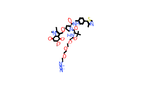 COC1=CC(=O)c2c(c(CO[C@@H]3C[C@@H](C(=O)NCc4ccc(-c5scnc5C)cc4)N(C(=O)[C@@H](NC(=O)COCCOCCOCCN=[N+]=[N-])C(C)(C)C)C3)c(C)n2C)C1=O